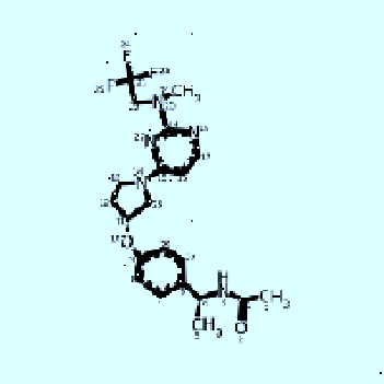 CC(=O)N[C@@H](C)c1ccc(O[C@@H]2CCN(c3ccnc(N(C)CC(F)(F)F)n3)C2)cc1